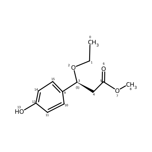 CCO[C@@H](CC(=O)OC)c1ccc(O)cc1